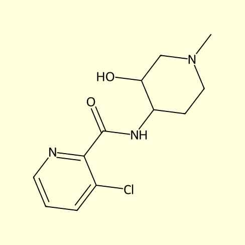 CN1CCC(NC(=O)c2ncccc2Cl)C(O)C1